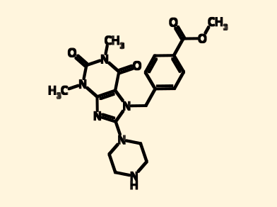 COC(=O)c1ccc(Cn2c(N3CCNCC3)nc3c2c(=O)n(C)c(=O)n3C)cc1